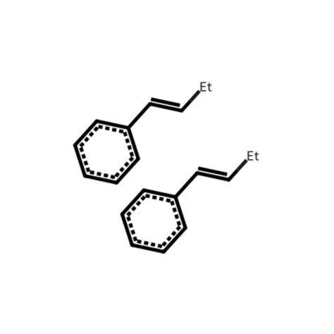 CCC=Cc1ccccc1.CCC=Cc1ccccc1